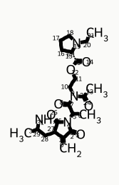 C=C1C(=O)N(C(C)C(=O)N(CCOC(=O)[C@@H]2CCCN2CC)C(C)=O)C(=O)C1CC(C)N